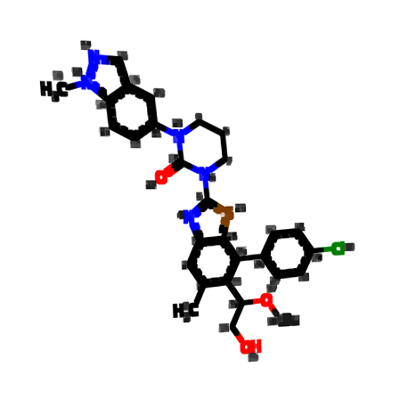 Cc1cc2nc(N3CCCN(c4ccc5c(cnn5C)c4)C3=O)sc2c(-c2ccc(Cl)cc2)c1C(CO)OC(C)(C)C